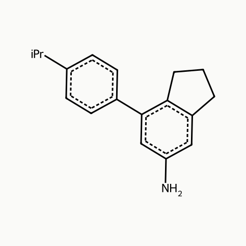 CC(C)c1ccc(-c2cc(N)cc3c2CCC3)cc1